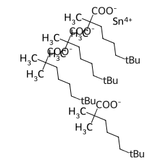 CC(C)(C)CCCCC(C)(C)C(=O)[O-].CC(C)(C)CCCCC(C)(C)C(=O)[O-].CC(C)(C)CCCCC(C)(C)C(=O)[O-].CC(C)(C)CCCCC(C)(C)C(=O)[O-].[Sn+4]